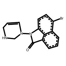 O=C1c2cccc3c(Br)ccc(c23)N1N1C=CCNC1